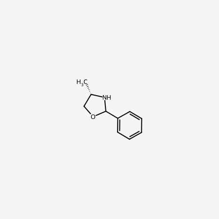 C[C@H]1COC(c2ccccc2)N1